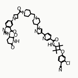 CC1(C)C(NC(=O)c2ccc(-c3cnn(C4CCN(CC5CCN(C(=O)C6CN(c7ccc8nnn(C9CCC(=O)NC9=O)c(=O)c8c7)C6)CC5)CC4)c3)nc2)C(C)(C)C1Oc1ccc(C#N)c(Cl)c1